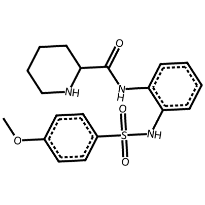 COc1ccc(S(=O)(=O)Nc2ccccc2NC(=O)C2CCCCN2)cc1